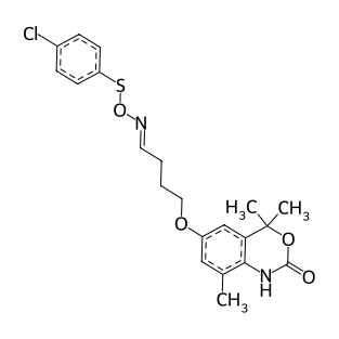 Cc1cc(OCCCC=NOSc2ccc(Cl)cc2)cc2c1NC(=O)OC2(C)C